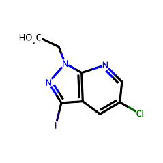 O=C(O)Cn1nc(I)c2cc(Cl)cnc21